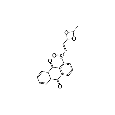 CC1OC(/C=C/[S+]([O-])c2cccc3c2C(=O)C2C=CC=CC2C3=O)O1